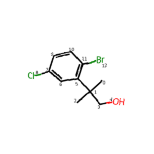 CC(C)(CO)c1cc(Cl)ccc1Br